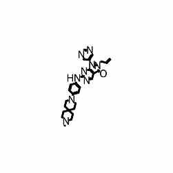 C=CCn1c(=O)c2cnc(Nc3ccc(N4CCC5(CCN(C)CC5)CC4)cc3)nc2n1-c1cncnc1